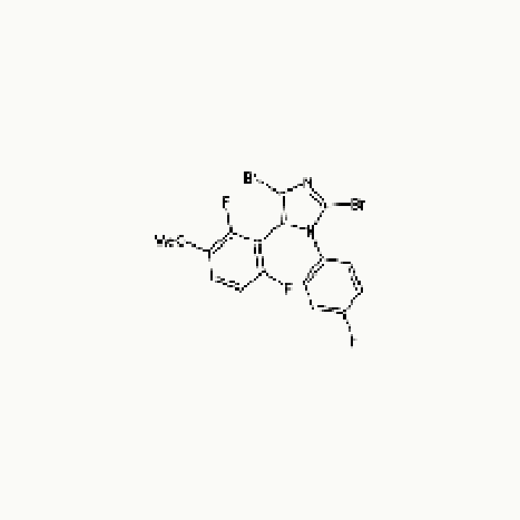 COc1ccc(F)c(-c2c(Br)nc(Br)n2-c2ccc(F)cc2)c1F